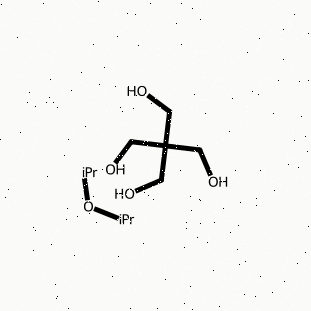 CC(C)OC(C)C.OCC(CO)(CO)CO